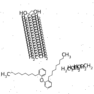 C=C.C=C.C=C.C=C.C=C.C=C.C=C.C=C.C=C.C=C.C=C.C=C.C=C.C=C.C=C.C=C.C=C.C=C.C=C.C=C.CCCCCCCCCc1ccccc1Oc1ccccc1CCCCCCCCC.OCCO